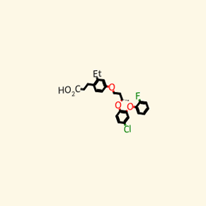 CCc1cc(OCC[C@H](C)Oc2ccc(Cl)cc2Oc2ccccc2F)ccc1CCC(=O)O